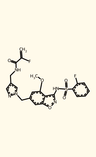 C=C(F)C(=O)NCc1cnn(Cc2cc(OC)c3c(NS(=O)(=O)c4ccccc4F)noc3c2)c1